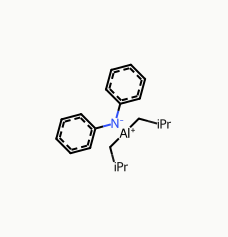 CC(C)[CH2][Al+][CH2]C(C)C.c1ccc([N-]c2ccccc2)cc1